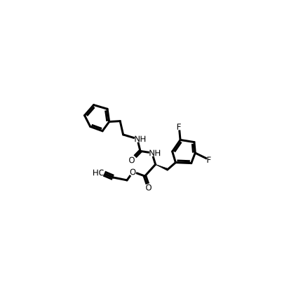 C#CCOC(=O)[C@H](Cc1cc(F)cc(F)c1)NC(=O)NCCc1ccccc1